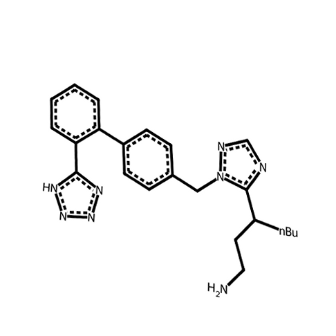 CCCCC(CCN)c1ncnn1Cc1ccc(-c2ccccc2-c2nnn[nH]2)cc1